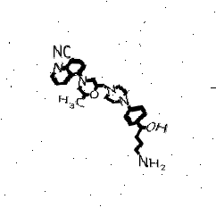 CC1CN(c2ccc(C#N)c3ncccc23)CC(CN2CCN(c3ccc(C(O)CCCN)cc3)CC2)O1